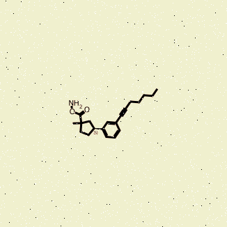 CCCCCC#Cc1cccc([C@H]2CCC(C)(C(=O)ON)C2)c1